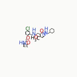 CCNC(=O)COc1ccc(Cl)cc1CNC(=O)Cc1c(C)ccn(NCC2CCCCC2)c1=O